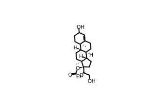 CCC(=O)O[C@]1(C(=O)CO)CC[C@H]2[C@@H]3CCC4=CC(O)CC[C@]4(C)[C@H]3CC[C@@]21C